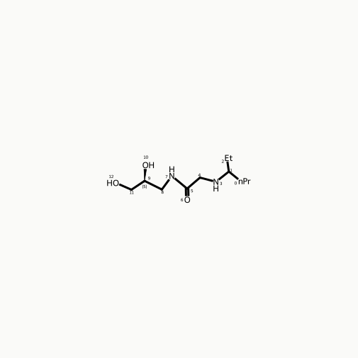 CCCC(CC)NCC(=O)NC[C@H](O)CO